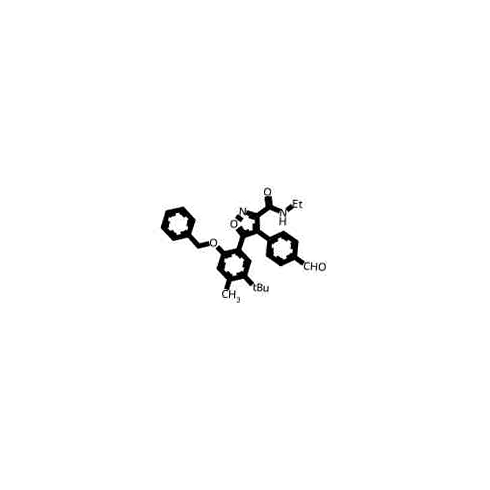 CCNC(=O)c1noc(-c2cc(C(C)(C)C)c(C)cc2OCc2ccccc2)c1-c1ccc(C=O)cc1